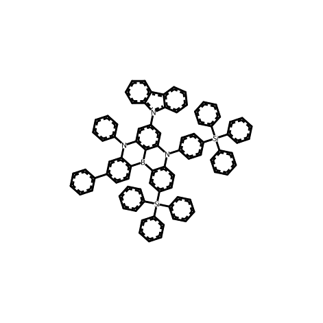 c1ccc(-c2ccc3c(c2)N(c2ccccc2)c2cc(-n4c5ccccc5c5ccccc54)cc4c2B3c2cc([Si](c3ccccc3)(c3ccccc3)c3ccccc3)ccc2N4c2ccc([Si](c3ccccc3)(c3ccccc3)c3ccccc3)cc2)cc1